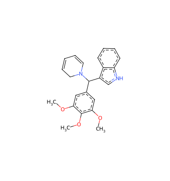 COc1cc(C(c2c[nH]c3ccccc23)N2C=CC=CC2)cc(OC)c1OC